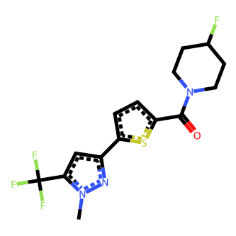 Cn1nc(-c2ccc(C(=O)N3CCC(F)CC3)s2)cc1C(F)(F)F